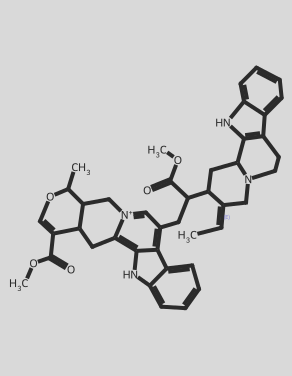 C/C=C1/CN2CCc3c([nH]c4ccccc34)C2CC1C(Cc1c[n+]2c(c3[nH]c4ccccc4c13)CC1C(C(=O)OC)=COC(C)C1C2)C(=O)OC